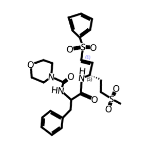 CS(=O)(=O)CC[C@@H](/C=C/S(=O)(=O)c1ccccc1)NC(=O)C(Cc1ccccc1)NC(=O)N1CCOCC1